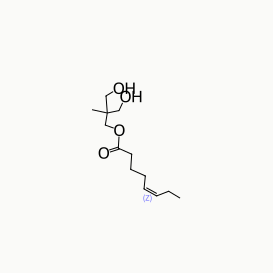 CC/C=C\CCCC(=O)OCC(C)(CO)CO